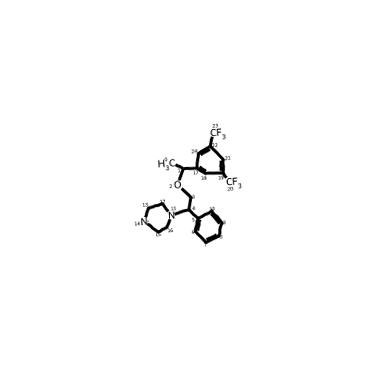 CC(OCC(c1ccccc1)N1CC[N]CC1)c1cc(C(F)(F)F)cc(C(F)(F)F)c1